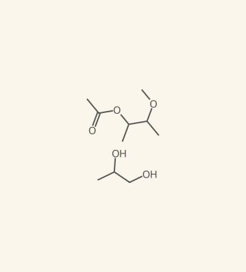 CC(O)CO.COC(C)C(C)OC(C)=O